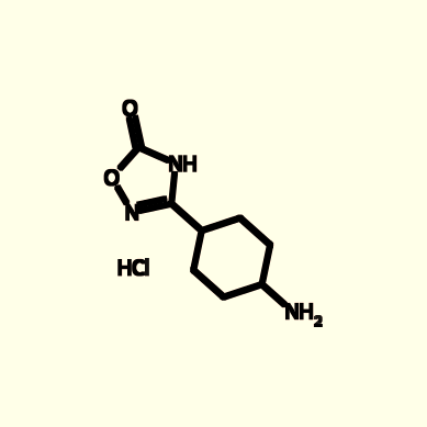 Cl.NC1CCC(c2noc(=O)[nH]2)CC1